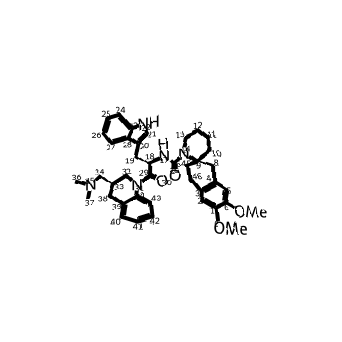 COc1cc2c(cc1OC)C[C@@]1(CCCCN1C(=O)N[C@H](Cc1c[nH]c3ccccc13)C(=O)N1C[C@H](CN(C)C)Cc3ccccc31)CC2